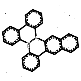 c1ccc2c(c1)-c1ccccc1[SiH]1c3ccccc3-c3cc4ccccc4cc3N21